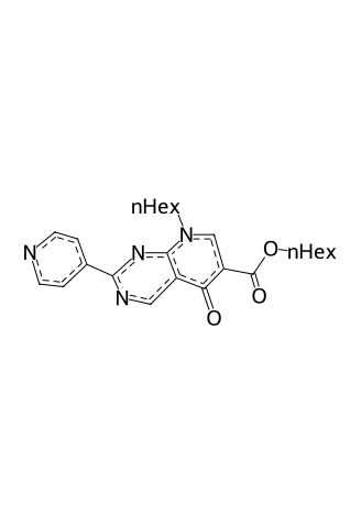 CCCCCCOC(=O)c1cn(CCCCCC)c2nc(-c3ccncc3)ncc2c1=O